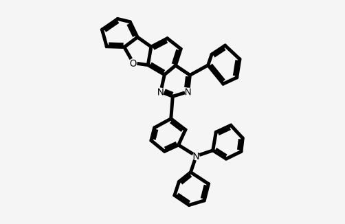 c1ccc(-c2nc(-c3cccc(N(c4ccccc4)c4ccccc4)c3)nc3c2ccc2c4ccccc4oc23)cc1